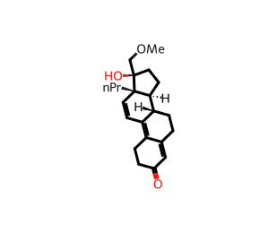 CCC[C@]12C=CC3=C4CCC(=O)C=C4CC[C@H]3[C@@H]1CC[C@@]2(O)COC